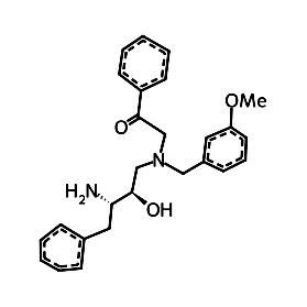 COc1cccc(CN(CC(=O)c2ccccc2)C[C@@H](O)[C@@H](N)Cc2ccccc2)c1